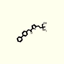 CC(N)(CO)CCc1ccc(C(=O)Cc2ccc(-c3ccccc3)cc2)s1